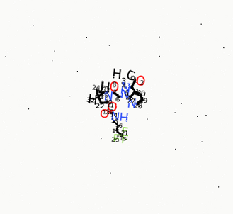 CC(=O)c1nn(CC(=O)N2[C@@H](OC(=O)NCCCC(F)(F)F)C[C@H]3C[C@H]32)c2ncccc12